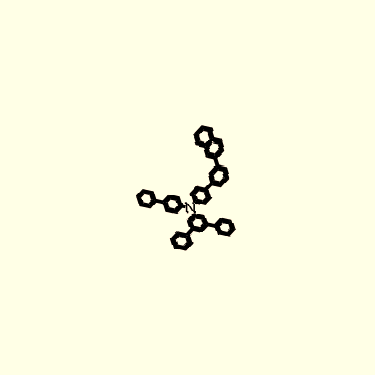 c1ccc(-c2ccc(N(c3ccc(-c4cccc(-c5ccc6ccccc6c5)c4)cc3)c3cc(-c4ccccc4)cc(-c4ccccc4)c3)cc2)cc1